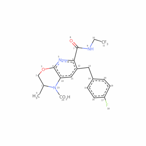 CC1COc2nc(C(=O)NCC(F)(F)F)c(Cc3ccc(F)cc3)cc2N1C(=O)O